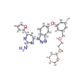 Cc1cc(COCCOC2CCCCO2)cc(Oc2ccc3c(c2)nnn3-c2cc(-c3ccco3)nc(N)n2)c1